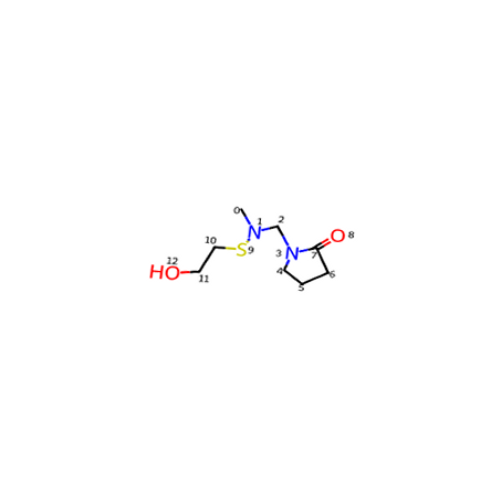 CN(CN1CCCC1=O)SCCO